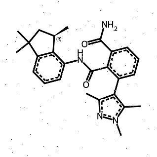 Cc1nn(C)c(C)c1-c1cccc(C(N)=O)c1C(=O)Nc1cccc2c1[C@H](C)CC2(C)C